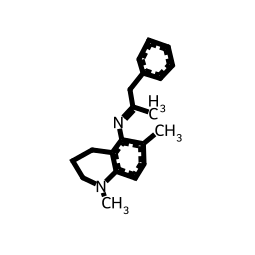 C/C(Cc1ccccc1)=N\c1c(C)ccc2c1CCCN2C